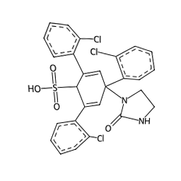 O=C1NCCN1C1(c2ccccc2Cl)C=C(c2ccccc2Cl)C(S(=O)(=O)O)C(c2ccccc2Cl)=C1